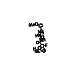 COc1cccc(-c2csc(NC(=O)CNC(=O)c3cc(F)c4c(c3)[C@@](C)(C#N)COC4)n2)c1